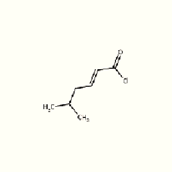 CC(C)CC=CC(=O)Cl